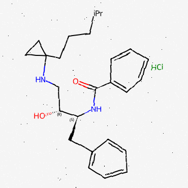 CC(C)CCCC1(NC[C@@H](O)[C@H](Cc2ccccc2)NC(=O)c2ccccc2)CC1.Cl